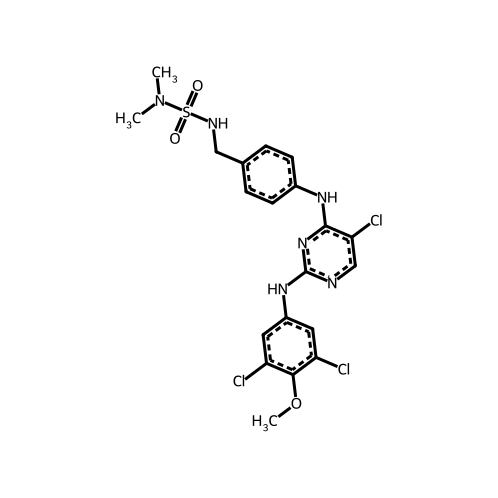 COc1c(Cl)cc(Nc2ncc(Cl)c(Nc3ccc(CNS(=O)(=O)N(C)C)cc3)n2)cc1Cl